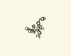 CC1(C=C(C#N)C(=O)N2CCC[C@@H]2Cn2c(NC(=O)c3ccc(C(F)F)s3)nc3cc(CN4CCOCC4)ccc32)COC1